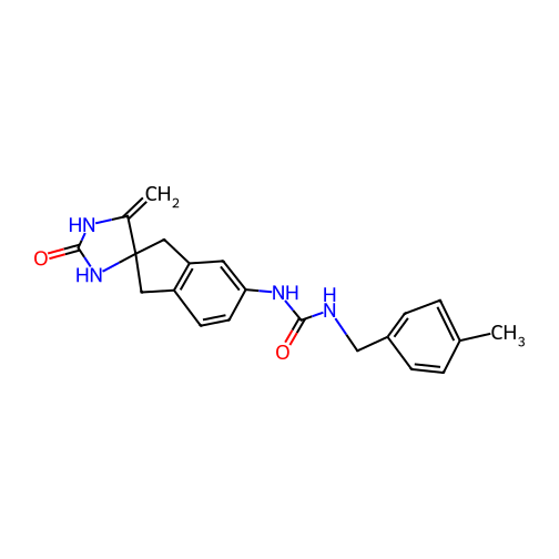 C=C1NC(=O)NC12Cc1ccc(NC(=O)NCc3ccc(C)cc3)cc1C2